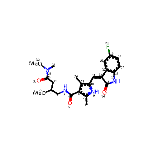 COC(CNC(=O)c1c(C)[nH]c(/C=C2\C(=O)Nc3ccc(F)cc32)c1C)CC(=O)N(C)OC